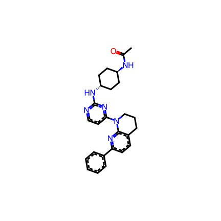 CC(=O)N[C@H]1CC[C@H](Nc2nccc(N3CCCc4ccc(-c5ccccc5)nc43)n2)CC1